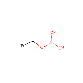 CC(C)COB(O)O